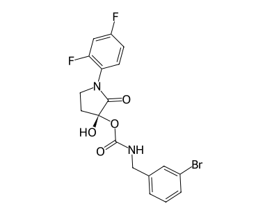 O=C(NCc1cccc(Br)c1)O[C@]1(O)CCN(c2ccc(F)cc2F)C1=O